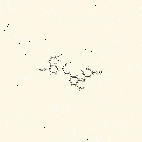 COc1ccc(/C=C/C(=O)c2ccc(OC)c3c2OC(C)(C)C=C3)cc1NC(=O)CN(C(=O)O)C(C)(C)C